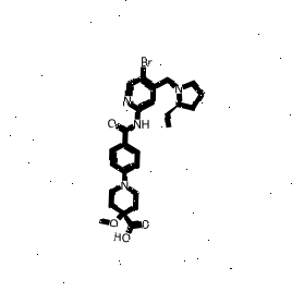 CC[C@@H]1CCCN1Cc1cc(NC(=O)c2ccc(N3CCC(OC)(C(=O)O)CC3)cc2)ncc1Br